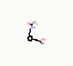 CC(C)C(O)C#Cc1cccc(CCCNC(=O)C(F)(F)F)c1